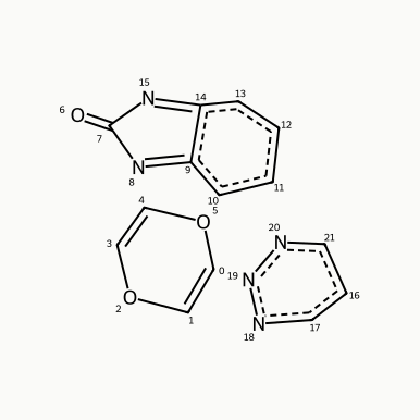 C1=COC=CO1.O=C1N=c2ccccc2=N1.c1cnnnc1